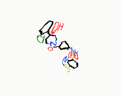 O=C(c1ccc(NS(=O)(=O)c2cccc3scnc23)cc1)N1CCC(O)(c2ccccc2Cl)CC1